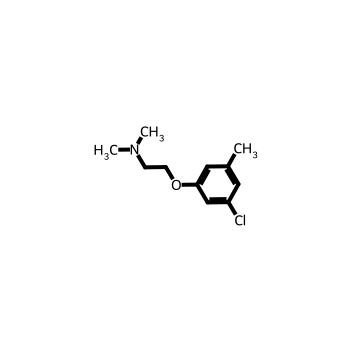 Cc1cc(Cl)cc(OCCN(C)C)c1